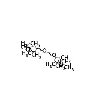 CCON1C(C)(C)CC(C=COCC=COC2CC(C)(C)N(OCC)C(C)(C)C2)CC1(C)C